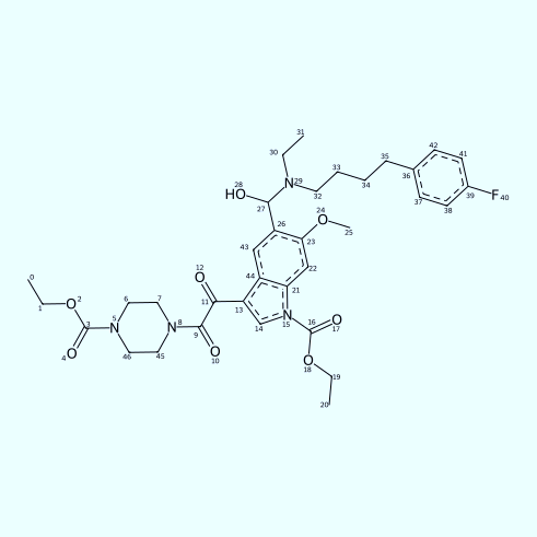 CCOC(=O)N1CCN(C(=O)C(=O)c2cn(C(=O)OCC)c3cc(OC)c(C(O)N(CC)CCCCc4ccc(F)cc4)cc23)CC1